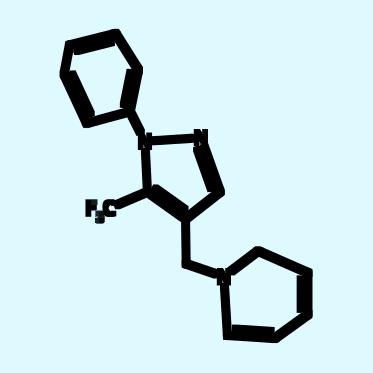 FC(F)(F)c1c(CN2C=CC=CC2)cnn1-c1ccccc1